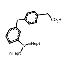 CCCCCCCN(CCCCCCC)c1cccc(Sc2ccc(CC(=O)O)cc2)c1